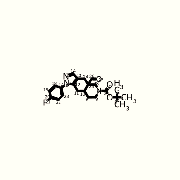 CC(C)(C)OC(=O)N1CCC2Cc3c(cnn3-c3ccc(F)cc3)CC2(C=O)C1